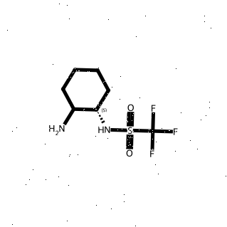 NC1CCCC[C@@H]1NS(=O)(=O)C(F)(F)F